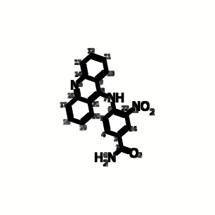 NC(=O)c1ccc(Nc2c3ccccc3nc3ccccc23)c([N+](=O)[O-])c1